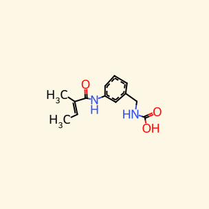 CC=C(C)C(=O)Nc1cccc(CNC(=O)O)c1